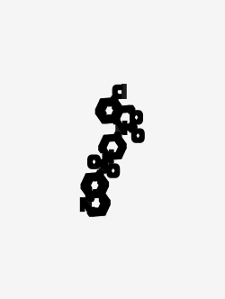 O=C1OCc2c(Cl)cccc2N1C1CCN(S(=O)(=O)c2ccc3ncccc3c2)CC1